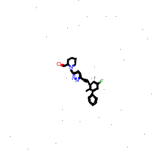 CC1=C(C#Cc2ccc(CN3CCCCC3C=O)nn2)[C@H](C)C(F)C=C1c1ccccc1